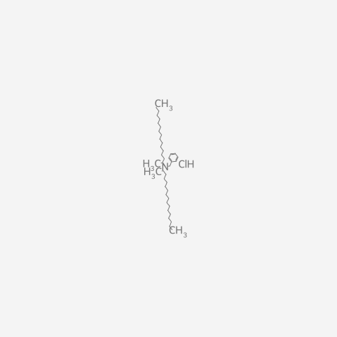 CCCCCCCCCCCCCCCC(C)N(Cc1ccccc1)C(C)CCCCCCCCCCCCCCC.Cl